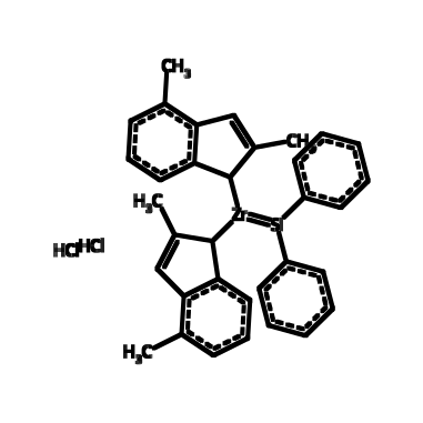 CC1=Cc2c(C)cccc2[CH]1[Zr]([CH]1C(C)=Cc2c(C)cccc21)=[Si](c1ccccc1)c1ccccc1.Cl.Cl